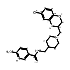 Cc1ccc(C(=O)NCC2CCN(CC3COc4ccc(Cl)cc4O3)CC2)cn1